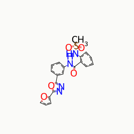 CS(=O)(=O)Nc1ccccc1C(=O)Nc1cccc(-c2nnc(-c3ccco3)o2)c1